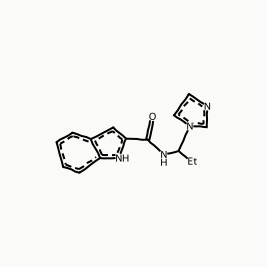 CCC(NC(=O)c1cc2ccccc2[nH]1)n1ccnc1